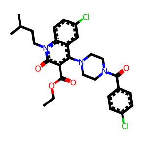 CCOC(=O)c1c(N2CCN(C(=O)c3ccc(Cl)cc3)CC2)c2cc(Cl)ccc2n(CCC(C)C)c1=O